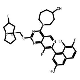 CCc1c(F)ccc2cc(O)cc(-c3ncc4c(N5CCCC(C#N)CC5)nc(OC[C@@]56CCCN5CC(F)C6)nc4c3F)c12